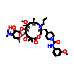 CCCN1C[C@H](C)C[C@@](C)(OC)[C@H](O[C@@H]2O[C@H](C)C[C@H](N(C)C)[C@H]2O)[C@@H](C)C(=O)C(C)(C)C(=O)OC[C@H]1CC1CCN(C(=O)Nc2cccc(OC)c2)CC1